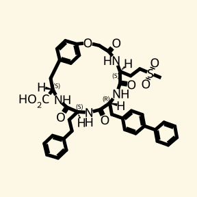 CS(=O)(=O)CC[C@@H]1NC(=O)COc2ccc(cc2)C[C@@H](C(=O)O)NC(=O)[C@H](CCc2ccccc2)NC(=O)[C@@H](Cc2ccc(-c3ccccc3)cc2)NC1=O